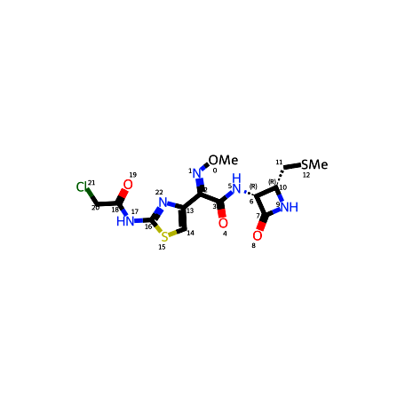 CON=C(C(=O)N[C@H]1C(=O)N[C@H]1CSC)c1csc(NC(=O)CCl)n1